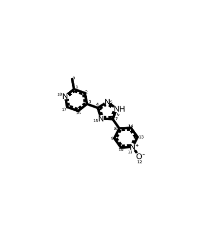 Cc1cc(-c2n[nH]c(-c3cc[n+]([O-])cc3)n2)ccn1